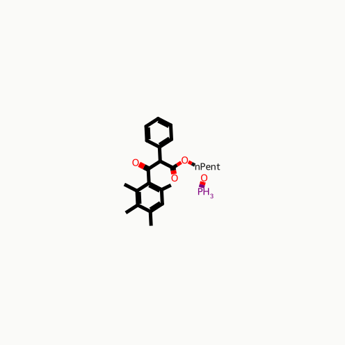 CCCCCOC(=O)C(C(=O)c1c(C)cc(C)c(C)c1C)c1ccccc1.O=[PH3]